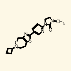 CN1CCN(c2ccc(-c3nc4c(s3)CCN(C3CCC3)CC4)cn2)C1=O